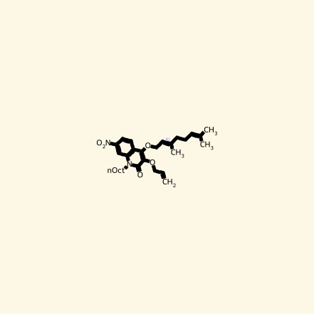 C=CCOc1c(OC/C=C(\C)CCC=C(C)C)c2ccc([N+](=O)[O-])cc2n(CCCCCCCC)c1=O